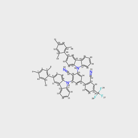 Cc1cc(C)c(-c2ccc3c(c2)c2ccccc2n3-c2cc(-c3ccc(C(F)(F)F)cc3C#N)cc(-n3c4ccccc4c4cc(-c5c(C)cc(C)cc5C)ccc43)c2C#N)c(C)c1